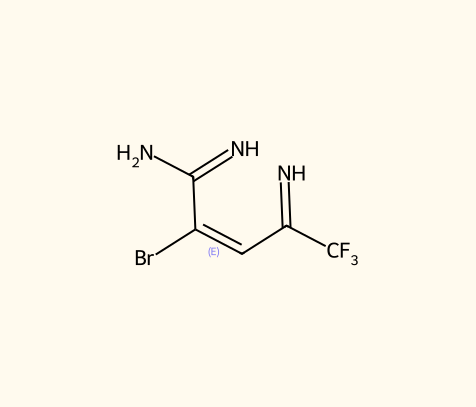 N=C(N)/C(Br)=C\C(=N)C(F)(F)F